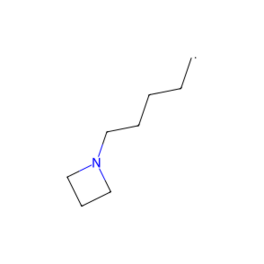 [CH2]CCCCN1CCC1